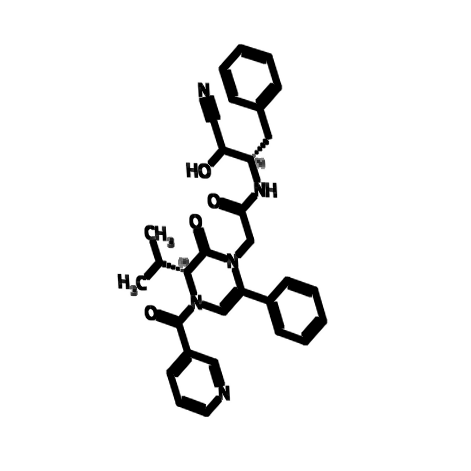 CC(C)[C@@H]1C(=O)N(CC(=O)N[C@@H](Cc2ccccc2)C(O)C#N)C(c2ccccc2)=CN1C(=O)c1cccnc1